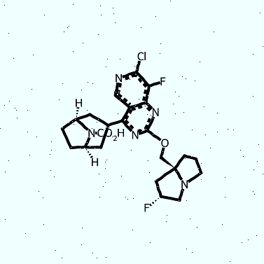 O=C(O)N1[C@@H]2CC[C@H]1CC(c1nc(OC[C@@]34CCCN3C[C@H](F)C4)nc3c(F)c(Cl)ncc13)C2